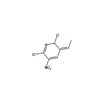 C/C=C1/C=C([N+](=O)[O-])C(Cl)=NC1Cl